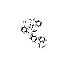 COc1ccccc1[C@H]1[C@H](C(=O)O)[C@H](c2ccccc2C)[C@H]1C(=O)Oc1cccc(-c2cccc3c2OCCO3)c1